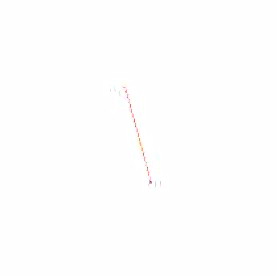 CCCCCCCCCCCCCCCCCCCCCCC[CH]SCCCCCCCCCCCCCCCC